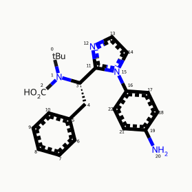 CC(C)(C)N(C(=O)O)[C@@H](Cc1ccccc1)c1nccn1-c1ccc(N)cc1